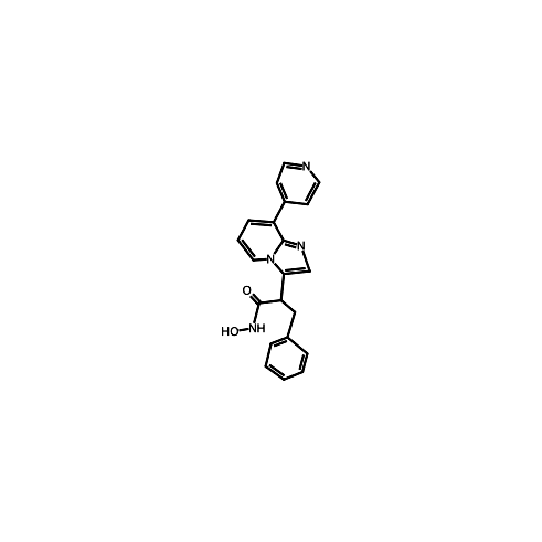 O=C(NO)C(Cc1ccccc1)c1cnc2c(-c3ccncc3)cccn12